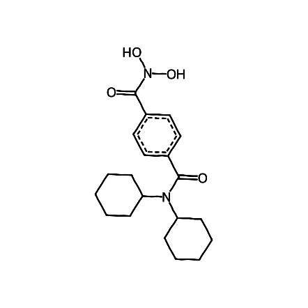 O=C(c1ccc(C(=O)N(C2CCCCC2)C2CCCCC2)cc1)N(O)O